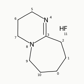 C1CCC2=NCCCN2CC1.F